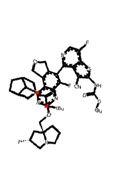 CC(C)(C)OC(=O)Nc1sc2c(F)cnc(-c3c4c(c5c(C6C7CCC6CN(C(=O)OC(C)(C)C)C7)nc(OC[C@@]67CCCN6C[C@H](F)C7)nc5c3F)COC4)c2c1C#N